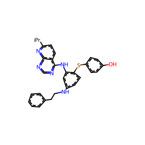 CC(C)c1ccc2c(Nc3cc(NCCc4ccccc4)ccc3Sc3ccc(O)cc3)ncnc2n1